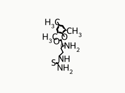 Cc1cc(C)c(OC(=O)[C@@H](N)CCCNC(N)=S)c(C)c1